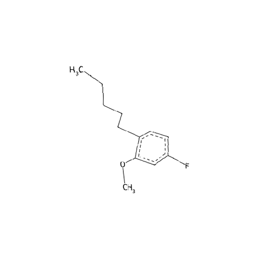 CCCCCc1ccc(F)cc1OC